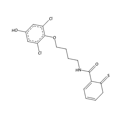 O=C(NCCCCOc1c(Cl)cc(O)cc1Cl)C1=CC=CCC1=S